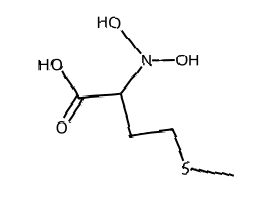 CSCCC(C(=O)O)N(O)O